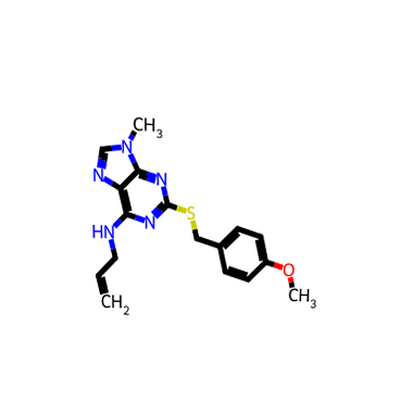 C=CCNc1nc(SCc2ccc(OC)cc2)nc2c1ncn2C